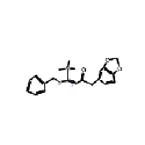 C[Si](C)(C)/C(=C\C(=O)Cc1ccc2c(c1)OCO2)SCc1ccccc1